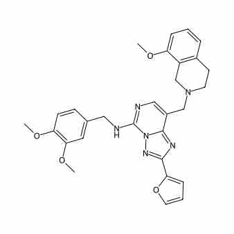 COc1ccc(CNc2ncc(CN3CCc4cccc(OC)c4C3)c3nc(-c4ccco4)nn23)cc1OC